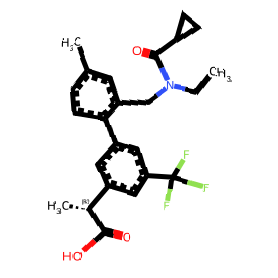 CCN(Cc1cc(C)ccc1-c1cc([C@@H](C)C(=O)O)cc(C(F)(F)F)c1)C(=O)C1CC1